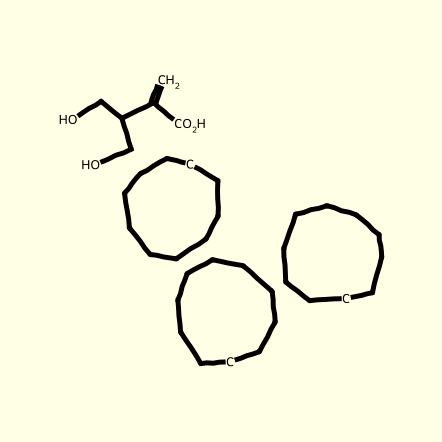 C1CCCCCCCCC1.C1CCCCCCCCC1.C1CCCCCCCCC1.C=C(C(=O)O)C(CO)CO